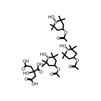 CC(=O)OC1CC(C)(C)N(O)C(C)(C)C1.CC(=O)OC1CC(C)(C)N(O)C(C)(C)C1.CC(=O)OC1CC(C)(C)N(O)C(C)(C)C1.O=C(O)CC(O)(CC(=O)O)C(=O)O